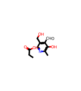 CCC(=O)O.Cc1ncc(CO)c(C=O)c1O